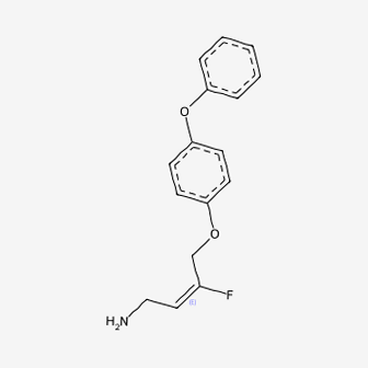 NC/C=C(/F)COc1ccc(Oc2ccccc2)cc1